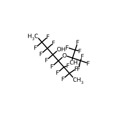 CC(F)(F)C(F)(F)C(O)(F)C(F)(OC(C)(C(F)(F)F)C(F)(F)F)C(F)(F)C(C)(F)F